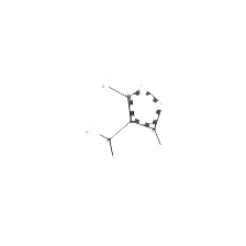 COC(O)c1c(C)n[nH]c1Br